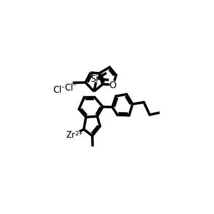 CC1=C2c3ccoc3C1[Si]2(C)C.CCCc1ccc(-c2cccc3c2C=C(C)[CH]3[Zr+2])cc1.[Cl-].[Cl-]